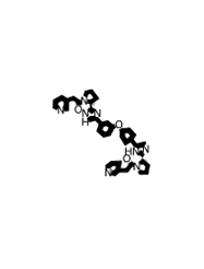 O=C(Cc1cccnc1)N1CCC[C@H]1c1nc(-c2cccc(Oc3ccc(-c4cnc([C@@H]5CCCN5C(=O)Cc5cccnc5)[nH]4)cc3)c2)c[nH]1